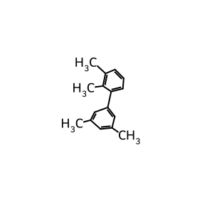 Cc1cc(C)cc(-c2cccc(C)c2C)c1